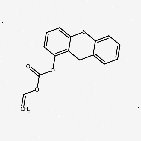 C=COC(=O)Oc1cccc2c1Cc1ccccc1S2